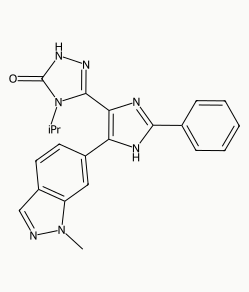 CC(C)n1c(-c2nc(-c3ccccc3)[nH]c2-c2ccc3cnn(C)c3c2)n[nH]c1=O